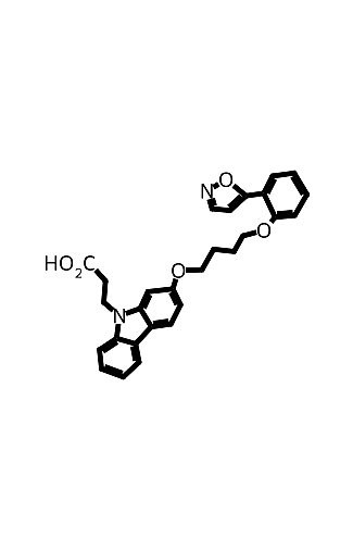 O=C(O)CCn1c2ccccc2c2ccc(OCCCCOc3ccccc3-c3ccno3)cc21